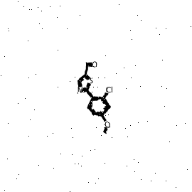 COc1ccc(-c2ncc(C=O)s2)c(Cl)c1